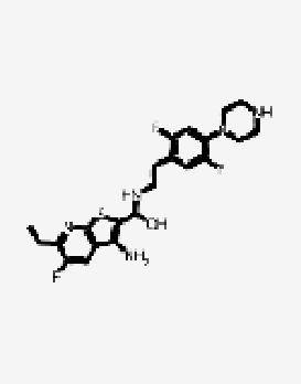 CCc1nc2sc(C(O)NCCc3cc(F)c(N4CCNCC4)cc3F)c(N)c2cc1F